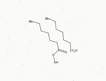 CC(C)(C)CCCCCC(=O)O.CC(C)(C)CCCCCC(=O)OO